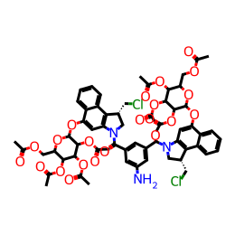 CC(=O)OCC1OC(Oc2cc3c(c4ccccc24)[C@H](CCl)CN3C(=O)c2cc(N)cc(C(=O)N3C[C@@H](CCl)c4c3cc(OC3OC(COC(C)=O)C(OC(C)=O)C(OC(C)=O)C3OC(C)=O)c3ccccc43)c2)C(OC(C)=O)C(OC(C)=O)C1OC(C)=O